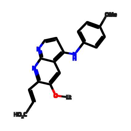 CCOc1cc2c(Nc3ccc(OC)cc3)ccnc2nc1/C=C/C(=O)O